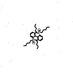 CCCCCP(=O)(CCCCC)c1cccc(C)c1-c1c(C)cccc1P(=O)(CCCCC)CCCCC